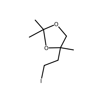 CC1(CCI)COC(C)(C)O1